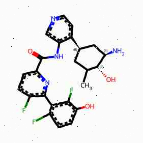 CC1C[C@@H](c2ccncc2NC(=O)c2ccc(F)c(-c3c(F)ccc(O)c3F)n2)C[C@@H](N)[C@@H]1O